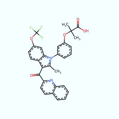 Cc1c(C(=O)c2ccc3ccccc3n2)c2ccc(OC(F)(F)F)cc2n1-c1cccc(OC(C)(C)C(=O)O)c1